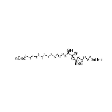 CCCCCCCCCCCCCCCCCCCCCCCCC(O)C(=O)OC(CCCC)CCCCCCCCCCCCCCC